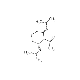 CC(=O)C1/C(=N/N(C)C)CCC/C1=N\N(C)C